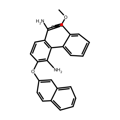 COC(=O)c1ccccc1-c1c(C(N)=O)ccc(Oc2ccc3ccccc3c2)c1N